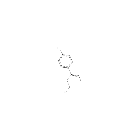 CC=C(CCC)c1ccc(O)cc1